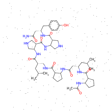 CC(=O)NC1CCCC1C(=O)N[C@H](CC(=O)NC1CCCC1C(=O)NC[C@H](CC(C)C)C(=O)NC1CNCC1C(=O)NC1CNCC1C(=O)N[C@H](CC(N)=O)Cc1ccc(O)cc1)CC(C)C